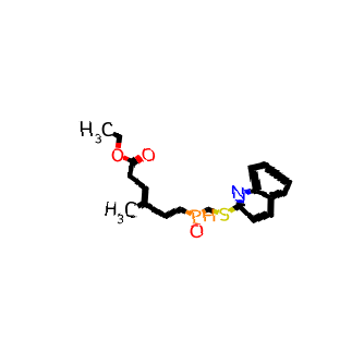 CCOC(=O)CCC(C)CC[PH](=O)CSc1ccc2ccccc2n1